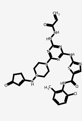 C=CC(=O)NNc1nc(Nc2ncc(C(=O)Nc3c(C)cccc3Cl)s2)nc(N2CCN(NC3=CC(=O)CC3)CC2)n1